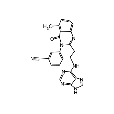 Cc1cccc2nc(CCNc3ncnc4[nH]cnc34)n(-c3cccc(C#N)c3)c(=O)c12